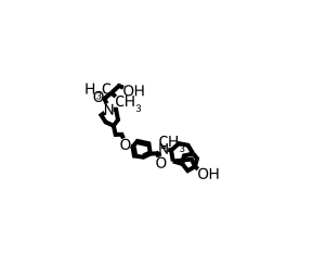 CN(C(=O)c1ccc(OCCC2CCN(C(=O)C(C)(C)CO)CC2)cc1)C1CCC2CC3CC(O)(C2)CC31